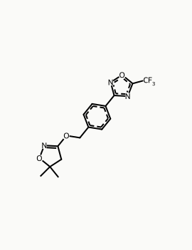 CC1(C)CC(OCc2ccc(-c3noc(C(F)(F)F)n3)cc2)=NO1